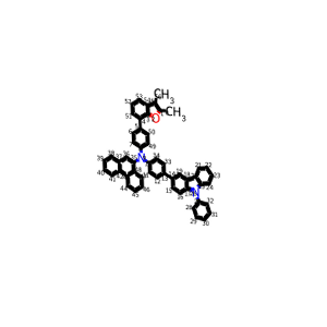 Cc1oc2c(-c3ccc(N(c4ccc(-c5ccc6c(c5)c5ccccc5n6-c5ccccc5)cc4)c4cc5ccccc5c5ccccc45)cc3)cccc2c1C